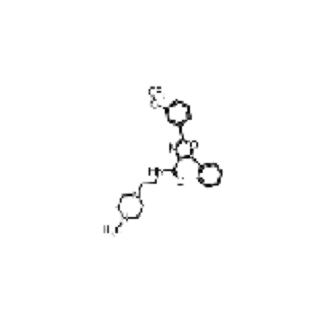 CN1CCN(CCNC(=O)c2nc(-c3cccc(OC(F)(F)F)c3)oc2-c2ccccc2)CC1